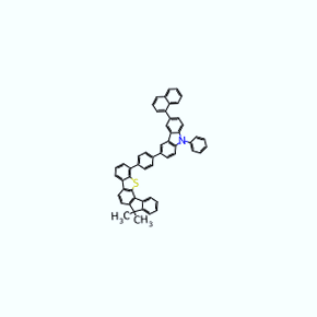 CC1(C)c2ccccc2-c2c1ccc1c2sc2c(-c3ccc(-c4ccc5c(c4)c4cc(-c6cccc7ccccc67)ccc4n5-c4ccccc4)cc3)cccc21